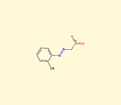 N#Cc1ccccc1N=NC[SH](=O)=O